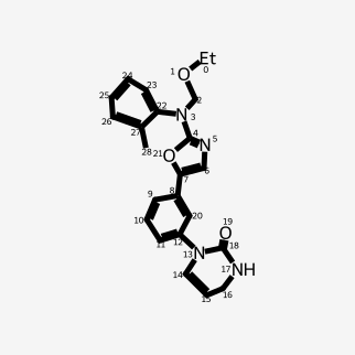 CCOCN(c1ncc(-c2cccc(N3C=CCNC3=O)c2)o1)c1ccccc1C